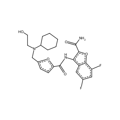 NC(=O)c1oc2c(F)cc(F)cc2c1NC(=O)c1ccc(CN(CCO)C2CCCCC2)o1